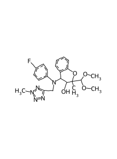 COC(OC)C1(C)Oc2ccccc2C(N(Cc2nnn(C)n2)c2ccc(F)cc2)C1O